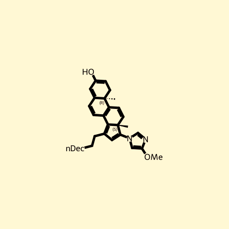 CCCCCCCCCCCCC1=C2C3=C(C=C[C@]2(C)C(n2cnc(OC)c2)=C1)[C@]1(C)CC=C(O)C=C1C=C3